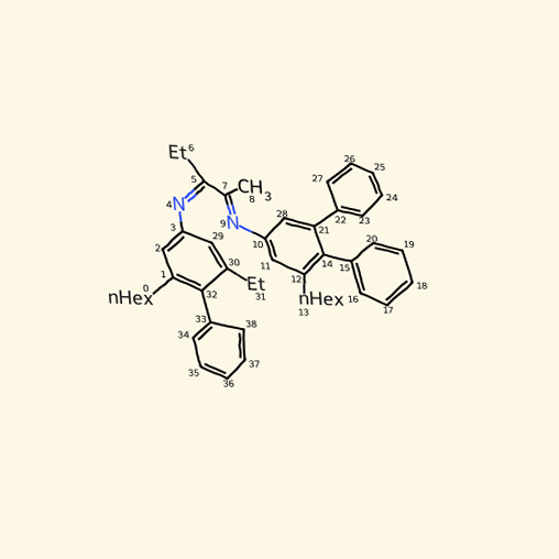 CCCCCCc1cc(N=C(CC)C(C)=Nc2cc(CCCCCC)c(-c3ccccc3)c(-c3ccccc3)c2)cc(CC)c1-c1ccccc1